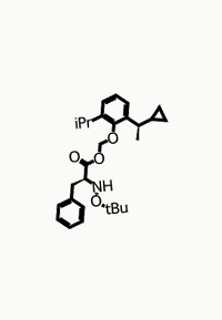 CC(C)c1cccc([C@H](C)C2CC2)c1OCOC(=O)[C@H](Cc1ccccc1)NOC(C)(C)C